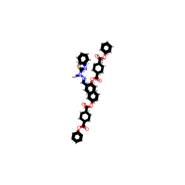 O=C(Oc1ccccc1)C1CCC(C(=O)Oc2ccc3cc(OC(=O)C4CCC(C(=O)Oc5ccccc5)CC4)c(/C=N/N(I)c4nc5ccccc5s4)cc3c2)CC1